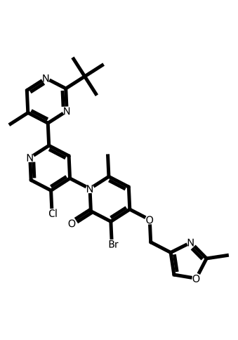 Cc1nc(COc2cc(C)n(-c3cc(-c4nc(C(C)(C)C)ncc4C)ncc3Cl)c(=O)c2Br)co1